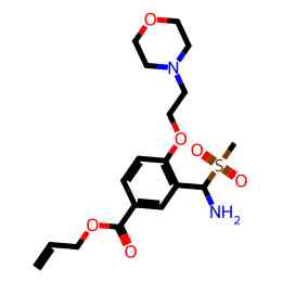 C=CCOC(=O)c1ccc(OCCN2CCOCC2)c(C(N)S(C)(=O)=O)c1